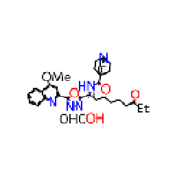 CCC(=O)CCCCC[C@H](NC(=O)C12CCN(CC1)CC2)c1nnc(-c2cc(OC)c3ccccc3n2)o1.O=CO